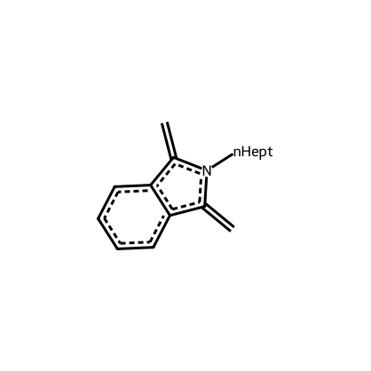 C=c1c2ccccc2c(=C)n1CCCCCCC